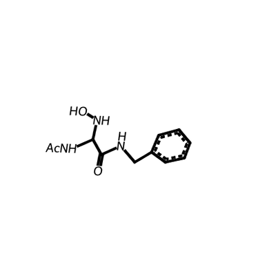 CC(=O)NC(NO)C(=O)NCc1ccccc1